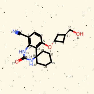 N#Cc1ccc(O[C@H]2C[C@H](CO)C2)c2c1NC(=O)NC21CCCCC1